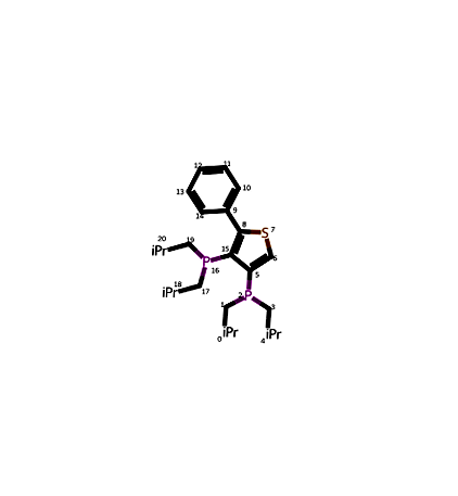 CC(C)CP(CC(C)C)c1csc(-c2ccccc2)c1P(CC(C)C)CC(C)C